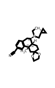 CCN(CC1CC1)[C@@H]1Cc2ccc(C#N)cc2[C@@]2(C)CC3(CC[C@@H]12)OCCO3